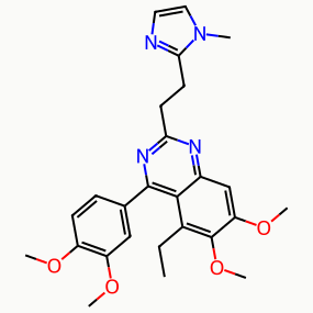 CCc1c(OC)c(OC)cc2nc(CCc3nccn3C)nc(-c3ccc(OC)c(OC)c3)c12